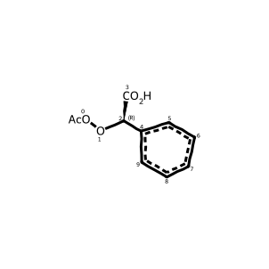 CC(=O)OO[C@@H](C(=O)O)c1ccccc1